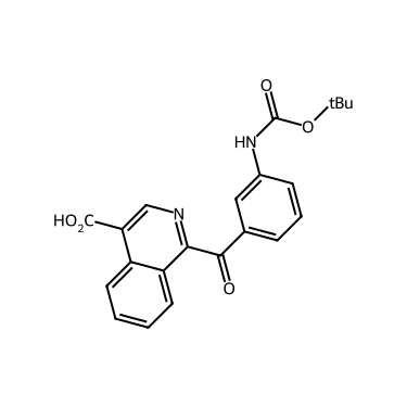 CC(C)(C)OC(=O)Nc1cccc(C(=O)c2ncc(C(=O)O)c3ccccc23)c1